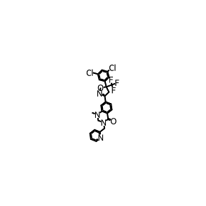 CN1CN(Cc2ccccn2)C(=O)c2ccc(C3=NOC(c4cc(Cl)cc(Cl)c4)(C(F)(F)F)C3)cc21